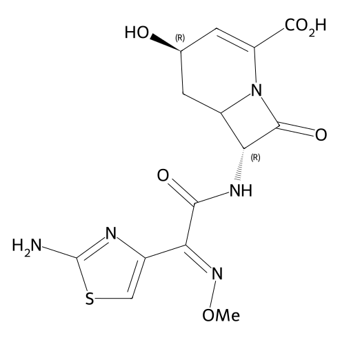 CON=C(C(=O)N[C@H]1C(=O)N2C(C(=O)O)=C[C@H](O)CC12)c1csc(N)n1